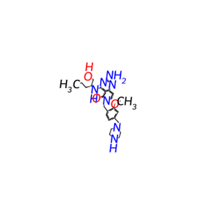 CCC[C@@H](CO)Nc1nc(N)nc2ccn(Cc3ccc(CN4CCNCC4)cc3OC)c(=O)c12